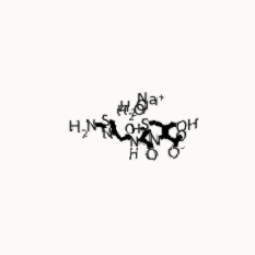 Nc1nc(CC(=O)N[C@@H]2C(=O)N3C(C(=O)[O-])=C(CO)CS[C@@H]23)cs1.O.O.[Na+]